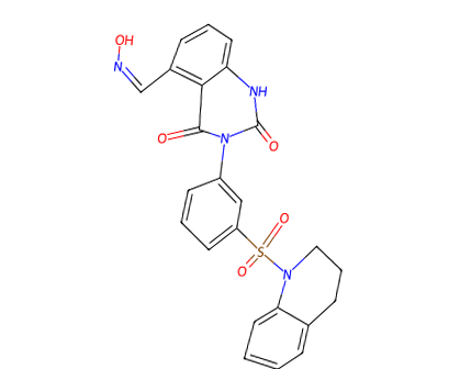 O=c1[nH]c2cccc(/C=N\O)c2c(=O)n1-c1cccc(S(=O)(=O)N2CCCc3ccccc32)c1